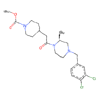 CC(C)(C)OC(=O)N1CCC(CC(=O)N2CCN(Cc3ccc(Cl)c(Cl)c3)C[C@@H]2C(C)(C)C)CC1